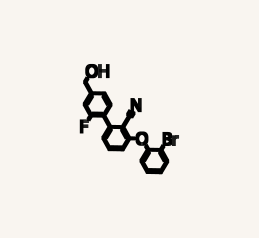 N#Cc1c(Oc2ccccc2Br)cccc1-c1ccc(CO)cc1F